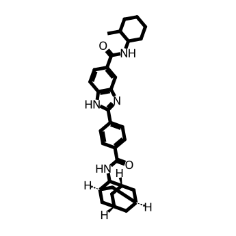 CC1CCCCC1NC(=O)c1ccc2[nH]c(-c3ccc(C(=O)NC4[C@H]5C[C@@H]6C[C@@H](C[C@H]4C6)C5)cc3)nc2c1